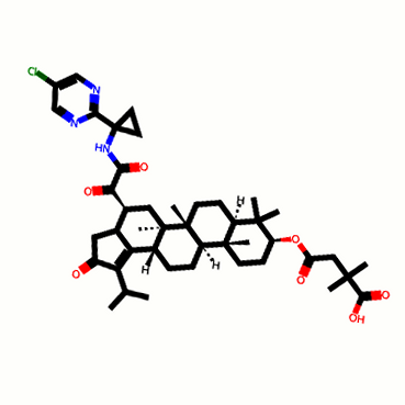 CC(C)C1=C2C(CC1=O)[C@@H](C(=O)C(=O)NC1(c3ncc(Cl)cn3)CC1)C[C@]1(C)[C@@H]2CC[C@@H]2[C@@]3(C)CC[C@H](OC(=O)CC(C)(C)C(=O)O)C(C)(C)[C@@H]3CC[C@]21C